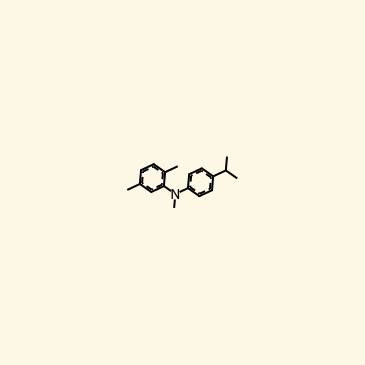 Cc1ccc(C)c(N(C)c2ccc(C(C)C)cc2)c1